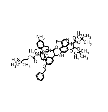 CN(CCc1cc(C(Nc2ccc3c(N(C(=O)OC(C)(C)C)C(=O)OC(C)(C)C)ncc(F)c3c2)C(=O)N(C)Cc2cc(N)ccc2S(=O)(=O)C2CC2)ccc1OCc1ccccc1)C(=O)OCC[Si](C)(C)C